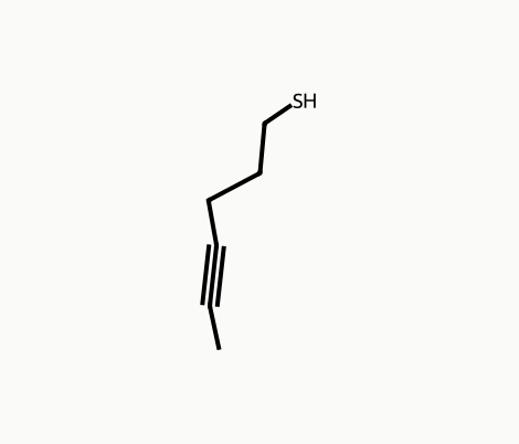 CC#CCCCS